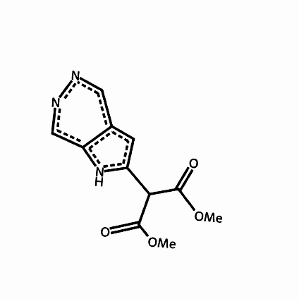 COC(=O)C(C(=O)OC)c1cc2cnncc2[nH]1